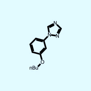 CCCCOc1cccc(-n2cncn2)c1